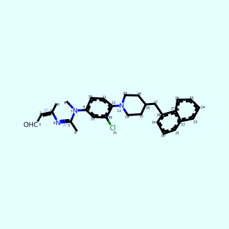 CC(=C/C=O)/N=C(/C)N(C)c1ccc(N2CCC(Cc3cccc4ccccc34)CC2)c(Cl)c1